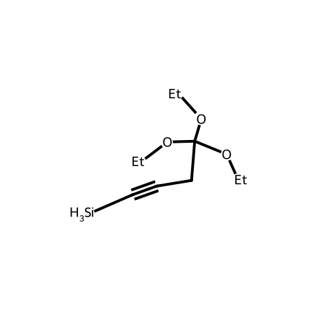 CCOC(CC#C[SiH3])(OCC)OCC